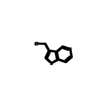 ClCc1csc2ccncc12